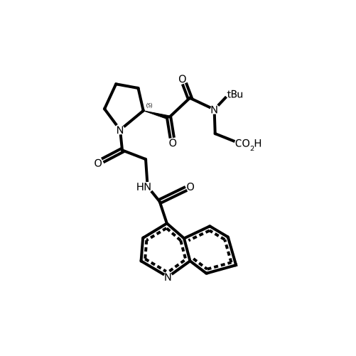 CC(C)(C)N(CC(=O)O)C(=O)C(=O)[C@@H]1CCCN1C(=O)CNC(=O)c1ccnc2ccccc12